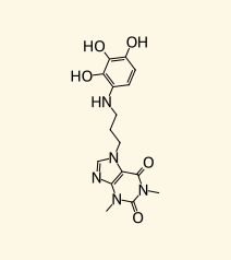 Cn1c(=O)c2c(ncn2CCCNc2ccc(O)c(O)c2O)n(C)c1=O